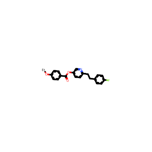 CCOc1ccc(C(=O)Oc2ccc(CCc3ccc(F)cc3)nc2)cc1